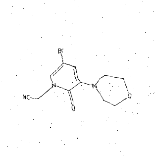 N#CCn1cc(Br)cc(N2CCOCC2)c1=O